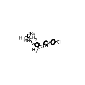 Cc1cc(/N=C/NC(C)(C)CC(C)(C)C)ccc1Oc1ccn(-c2ccc(Cl)cc2)n1